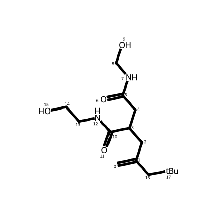 C=C(CC(CC(=O)NCO)C(=O)NCCO)CC(C)(C)C